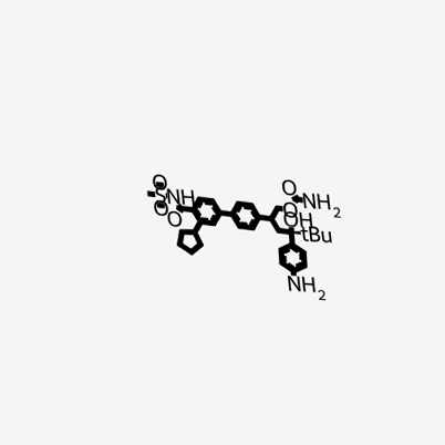 CC(C)(C)[C@](O)(CC(COC(N)=O)c1ccc(-c2ccc(C(=O)NS(C)(=O)=O)c(C3CCCC3)c2)cc1)c1ccc(N)cc1